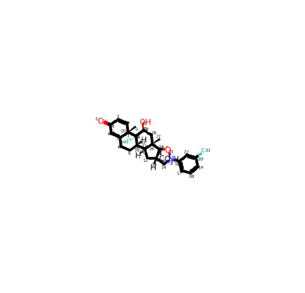 C[C@]12C=CC(=O)C=C1CC[C@H]1[C@@H]3C[C@H]4CN(c5cccc(F)c5)O[C@@]4(C(=O)O)[C@@]3(C)C[C@H](O)[C@@]12F